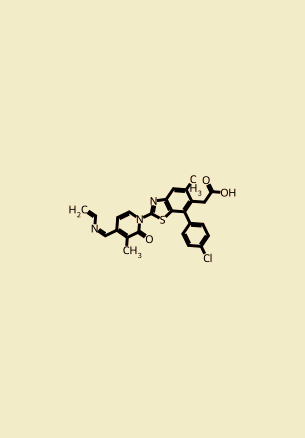 C=C/N=C\c1ccn(-c2nc3cc(C)c(CC(=O)O)c(-c4ccc(Cl)cc4)c3s2)c(=O)c1C